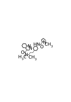 CC(CCc1ccc(NC(=O)c2cccn2C)cc1)N(C)C(=O)c1cnnc2ccccc12